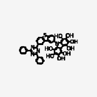 Oc1c(O)c(O)c2c(c1O)c1c(O)c(O)c(O)c(O)c1n2-c1ccc2sc3ccc(-c4nc(-c5ccccc5)nc(-c5ccccc5)n4)cc3c2c1